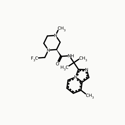 Cc1cccn2c(C(C)(C)NC(=O)[C@@H]3CN(C)CCN3CC(F)(F)F)ncc12